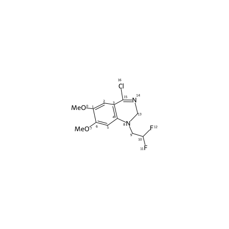 COc1cc2c(cc1OC)N(CC(F)F)CN=C2Cl